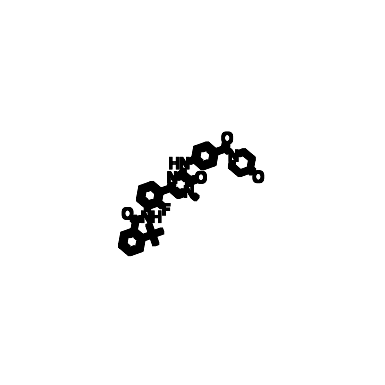 Cn1cc(-c2cccc(NC(=O)c3ccccc3C(C)(C)C)c2F)nc(Nc2ccc(C(=O)N3CCC(=O)CC3)cc2)c1=O